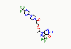 CC(COCCC(=O)N1CCN(c2cnc(C(F)(F)F)cn2)CC1)n1nc(C(F)(F)F)c2c(=O)[nH]ncc21